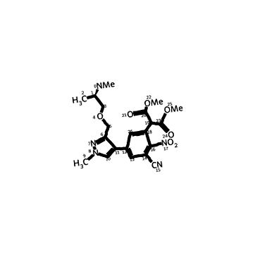 CN[C@H](C)COCc1nn(C)cc1-c1cc(C#N)c([N+](=O)[O-])c(C(C(=O)OC)C(=O)OC)c1